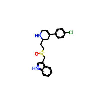 [O-][S+](CCC1CC(c2ccc(Cl)cc2)=CCN1)Cc1c[nH]c2ccccc12